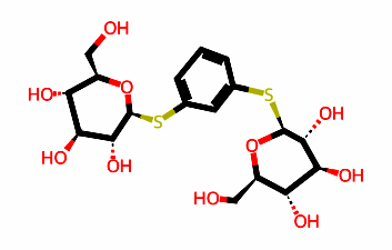 OC[C@H]1O[C@@H](Sc2cccc(S[C@@H]3O[C@H](CO)[C@@H](O)[C@H](O)[C@H]3O)c2)[C@H](O)[C@@H](O)[C@@H]1O